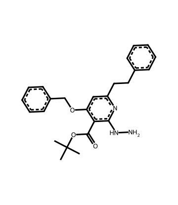 CC(C)(C)OC(=O)c1c(OCc2ccccc2)cc(CCc2ccccc2)nc1NN